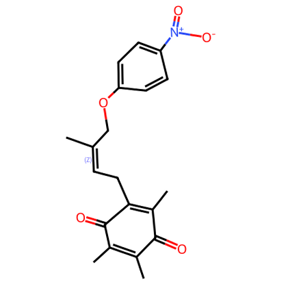 CC1=C(C)C(=O)C(C/C=C(/C)COc2ccc([N+](=O)[O-])cc2)=C(C)C1=O